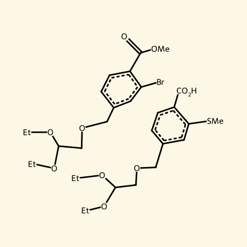 CCOC(COCc1ccc(C(=O)O)c(SC)c1)OCC.CCOC(COCc1ccc(C(=O)OC)c(Br)c1)OCC